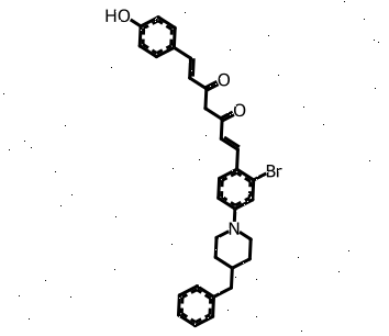 O=C(/C=C/c1ccc(O)cc1)CC(=O)/C=C/c1ccc(N2CCC(Cc3ccccc3)CC2)cc1Br